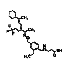 CCc1cc(CO/N=C(C)/C(/C=C/C(F)(F)F)=C/C=C(\C)C2CCCCC2)ccc1CNCCC(=O)O